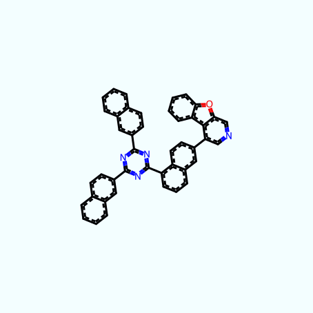 c1ccc2cc(-c3nc(-c4ccc5ccccc5c4)nc(-c4cccc5cc(-c6cncc7oc8ccccc8c67)ccc45)n3)ccc2c1